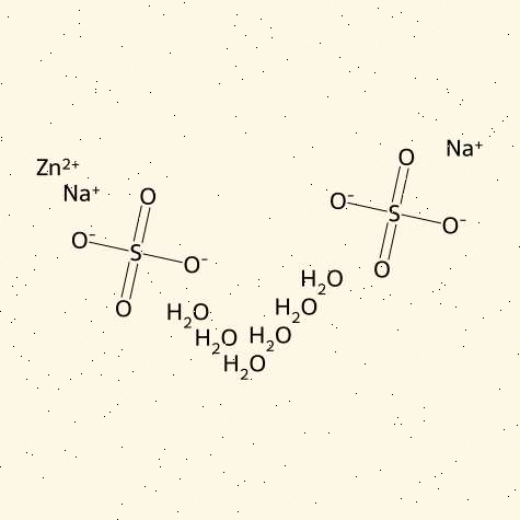 O.O.O.O.O.O.O=S(=O)([O-])[O-].O=S(=O)([O-])[O-].[Na+].[Na+].[Zn+2]